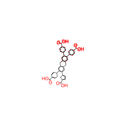 O=C(O)C1=C=C=C(c2cc3c(cc2C2C=CC(C(=O)O)=CC2)C2c4cc(-c5ccc(C(=O)O)cc5)c(-c5ccc(C(=O)O)cc5)cc4C3c3cc(-c4ccc(C(=O)O)cc4)c(-c4ccc(C(=O)O)cc4)cc32)C1